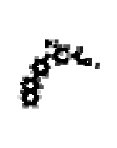 CCC(=O)N1CC[C@@H](Cc2ccc(-c3cnc4ccccc4c3)cc2)[C@H](O)C1